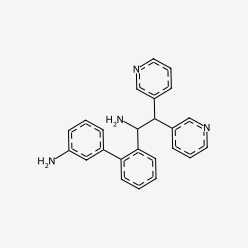 Nc1cccc(-c2ccccc2C(N)C(c2cccnc2)c2cccnc2)c1